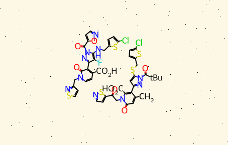 Cc1cc(=O)n(CC(=O)c2ccns2)c(C(=O)O)c1-c1cc(SCc2ccc(Cl)s2)n(C(=O)C(C)(C)C)n1.O=C(O)c1ccn(Cc2ccsn2)c(=O)c1-c1nn(C(=O)c2ccno2)c(NCc2ccc(Cl)s2)c1F